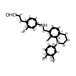 Cc1c(CNc2ccc(CCC=O)c(F)c2)ccc2c1N(c1ccc(F)c(F)c1)CCC2